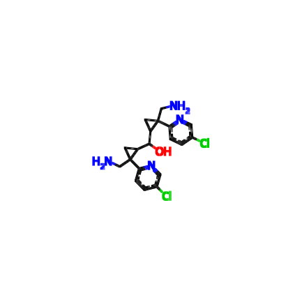 NCC1(c2ccc(Cl)cn2)CC1C(O)C1CC1(CN)c1ccc(Cl)cn1